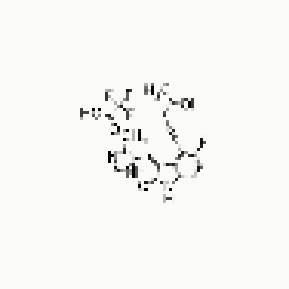 Cc1nc[nH]c1/C=C1\C(=O)Nc2ccc(F)c(C#CCC(C)O)c21.O=C(O)C(F)(F)F